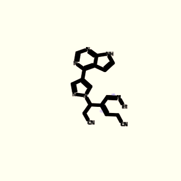 CC/N=C\C(=C/CC#N)C(CC#N)n1cc(-c2ncnc3[nH]ccc23)cn1